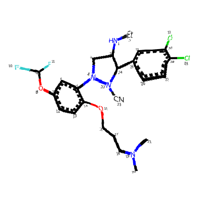 CCNC1CN(c2cc(OC(F)F)ccc2OCCCN(C)C)N(C#N)C1c1ccc(Cl)c(Cl)c1